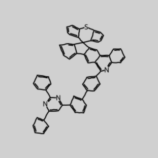 c1ccc(-c2cc(-c3cccc(-c4ccc(-c5nc6ccccc6c6cc7c(cc56)-c5ccccc5C75c6ccccc6Sc6ccccc65)cc4)c3)nc(-c3ccccc3)n2)cc1